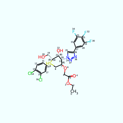 CCOC(=O)CO[C@H]1C[SH](c2ccc(Cl)c(Cl)c2)[C@H](CO)[C@H](O)[C@@H]1n1cc(-c2cc(F)c(F)c(F)c2)nn1